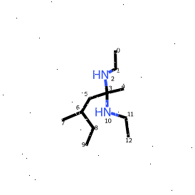 CCNC(C)(CC(C)CC)NCC